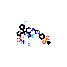 NC(=O)O[C@H]1CCC[C@@H]1[C@](CN1CC(F)C1)(c1cccc(F)c1)C1CCN(CC2CN(c3ccc(S(=O)(=O)C4CC4)cc3)C2)CC1